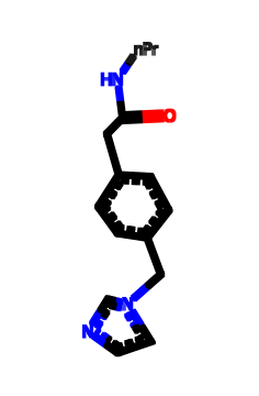 CCCNC(=O)Cc1ccc(Cn2ccnc2)cc1